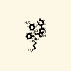 CCCCNC(=O)N(c1ccccc1)C(c1c[nH]c2ncc(-c3cccnc3)cc12)S(=O)(=O)c1ccc(C)cc1